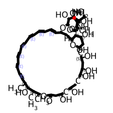 CC1OC(OC2/C=C/C=C/C=C/C=C/C=C/C=C/C=C/[C@H](C)[C@@H](O)[C@@H](C)[C@H](C)OC(=O)C[C@H](O)C[C@H](O)CC[C@@H](O)[C@H](O)C[C@H](O)C[C@]3(O)C[C@H](O)[C@@H](C(=O)NC(CO)CO)[C@H](C2)O3)C(O)C(N)C1O